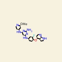 COc1cc(Nc2cc(Nc3ccc(Oc4ccnc5[nH]ccc45)c(F)c3)nc(N)n2)ccn1